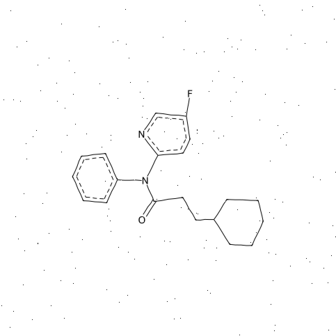 O=C(CCC1CCCCC1)N(c1ccccc1)c1ccc(F)cn1